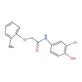 CC(C)(C)c1ccccc1OCC(=O)Nc1ccc(O)c(Cl)c1